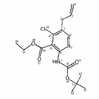 C=CCc1cnc(NC(=O)OC(C)(C)C)c(C(=O)OCC)c1Cl